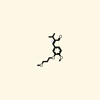 COCCCOc1cc(/C=C(\C=O)C(C)C)ccc1OC